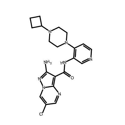 Nc1nn2cc(Cl)cnc2c1C(=O)Nc1cnccc1N1CCN(C2CCC2)CC1